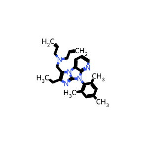 C=CCN(CC=C)Cc1c(CC)nc2n(-c3c(C)cc(C)cc3C)c3ncccc3n12